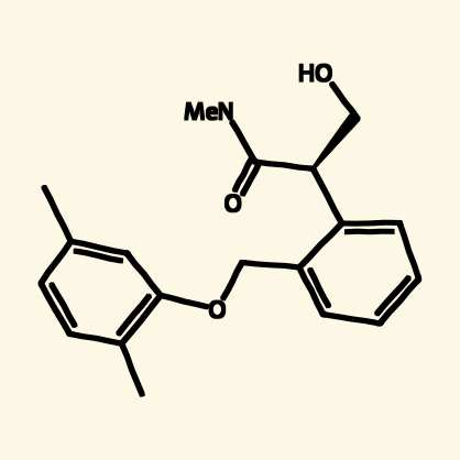 CNC(=O)[C@@H](CO)c1ccccc1COc1cc(C)ccc1C